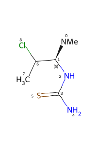 CN[C@@H](NC(N)=S)C(C)Cl